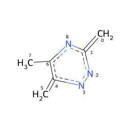 C=c1nnc(=C)c(C)n1